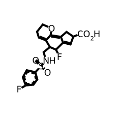 O=C(O)C1C=C2C(=C3OCCC=C3C(CNS(=O)(=O)c3ccc(F)cc3)C2F)C1